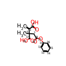 C=C(C(=O)O)C(C)(CC(=O)Oc1ccccc1)C(=O)O